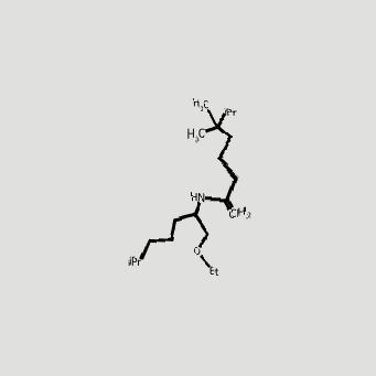 C=C(CCCC(C)(C)C(C)C)NC(CCCC(C)C)COCC